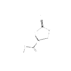 CCNC(=O)[C@@H]1CCC(=O)N1